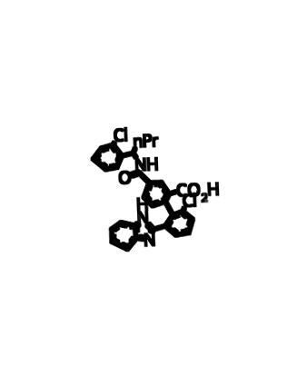 CCCC(NC(=O)c1ccc(-c2c(Cl)cccc2-c2nc3ccccc3[nH]2)c(C(=O)O)c1)c1ccccc1Cl